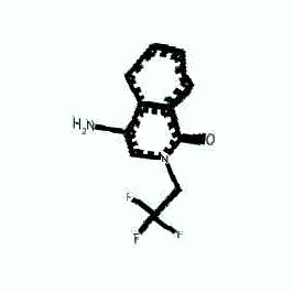 Nc1cn(CC(F)(F)F)c(=O)c2ccccc12